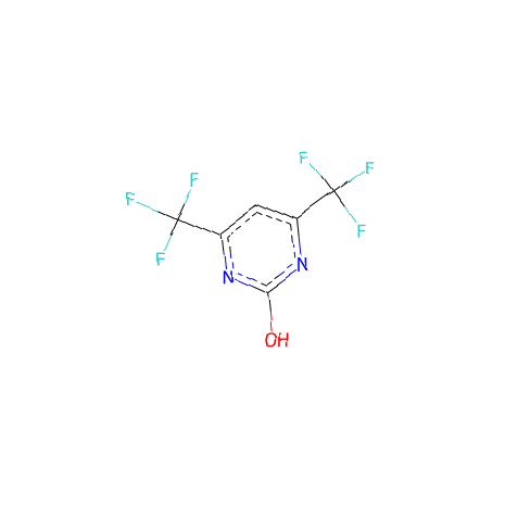 Oc1nc(C(F)(F)F)cc(C(F)(F)F)n1